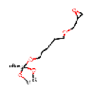 CCCC[Si](OCC)(OCC)OCCCCCOCC1CO1